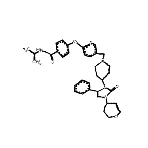 CC(C)NC(=O)c1ccc(Oc2ccc(CN3CCC(N4C(=O)N(C5CCOCC5)CC4c4ccccc4)CC3)cn2)cc1